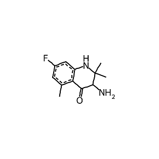 Cc1cc(F)cc2c1C(=O)C(N)C(C)(C)N2